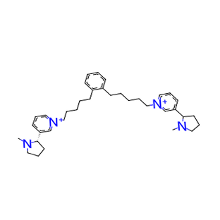 CN1CCCC1c1ccc[n+](CCCCCc2ccccc2CCCCC[n+]2cccc([C@@H]3CCCN3C)c2)c1